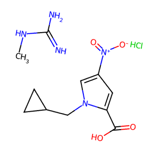 CNC(=N)N.Cl.O=C(O)c1cc([N+](=O)[O-])cn1CC1CC1